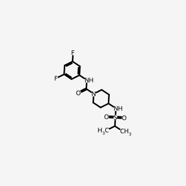 CC(C)S(=O)(=O)NC1CCN(C(=O)Nc2cc(F)cc(F)c2)CC1